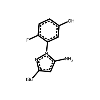 CC(C)(C)c1cc(N)n(-c2cc(O)ccc2F)n1